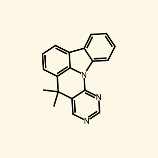 CC1(C)c2cncnc2-n2c3ccccc3c3cccc1c32